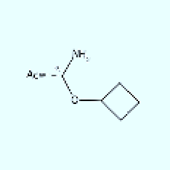 CC(=O)[C@H](N)OC1CCC1